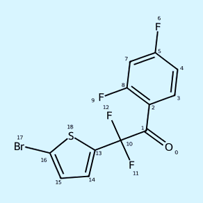 O=C(c1ccc(F)cc1F)C(F)(F)c1ccc(Br)s1